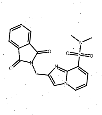 CN(C)S(=O)(=O)c1cccn2cc(CN3C(=O)c4ccccc4C3=O)nc12